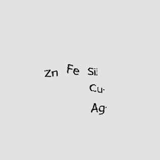 [Ag].[Cu].[Fe].[Si].[Zn]